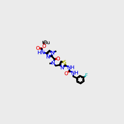 CN(Cc1csc(NC(=O)NCc2cccc(F)c2)n1)C(=O)c1nc(NC(=O)OC(C)(C)C)cn1C